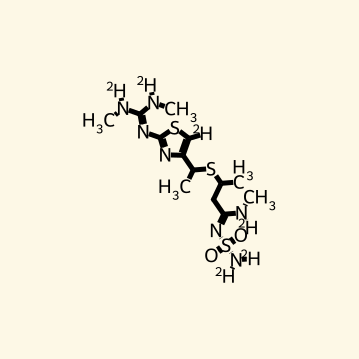 [2H]c1sc(N=C(N([2H])C)N([2H])C)nc1C(C)SC(C)C/C(=N/S(=O)(=O)N([2H])[2H])N([2H])C